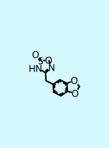 O=S1NC(Cc2ccc3c(c2)OCO3)=NO1